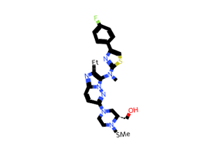 CCc1nc2ccc(N3CCN(SC)[C@@H](CO)C3)nn2c1N(C)c1nc(-c2ccc(F)cc2)cs1